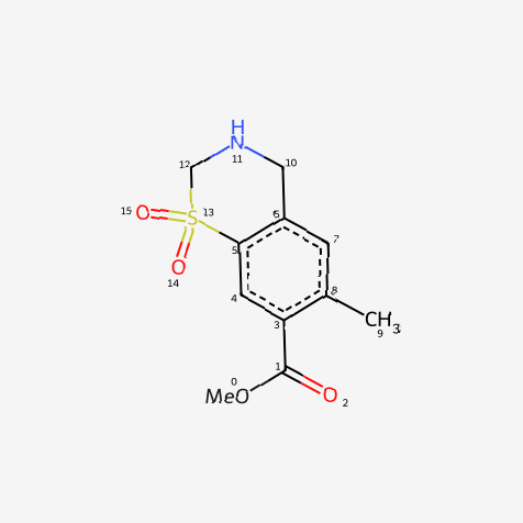 COC(=O)c1cc2c(cc1C)CNCS2(=O)=O